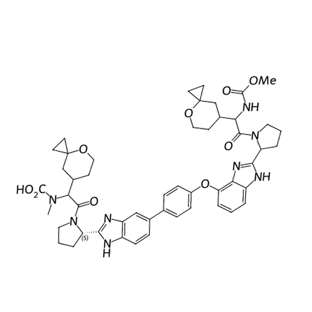 COC(=O)NC(C(=O)N1CCCC1c1nc2c(Oc3ccc(-c4ccc5[nH]c([C@@H]6CCCN6C(=O)C(C6CCOC7(CC7)C6)N(C)C(=O)O)nc5c4)cc3)cccc2[nH]1)C1CCOC2(CC2)C1